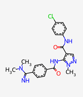 CN(C)C(=N)c1ccc(C(=O)Nc2c(C(=O)Nc3ccc(Cl)cc3)cnn2C)cc1